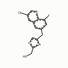 OCc1nc(Cc2cc(F)c3ncc(Cl)cc3c2)co1